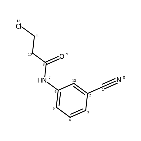 N#Cc1cccc(NC(=O)CCCl)c1